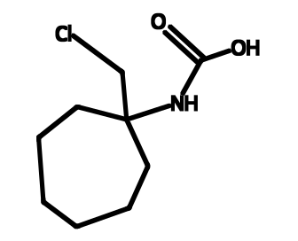 O=C(O)NC1(CCl)CCCCCC1